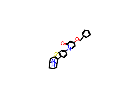 O=c1cc(OCc2ccccc2)ccn1-c1ccc2c3c(sc2c1)CC1CCCC3N1